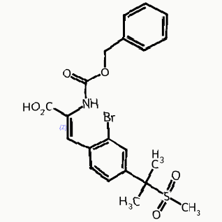 CC(C)(c1ccc(/C=C(\NC(=O)OCc2ccccc2)C(=O)O)c(Br)c1)S(C)(=O)=O